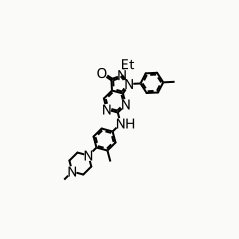 CCn1c(=O)c2cnc(Nc3ccc(N4CCN(C)CC4)c(C)c3)nc2n1-c1ccc(C)cc1